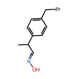 CC(C)Cc1ccc(C(C)C=NO)cc1